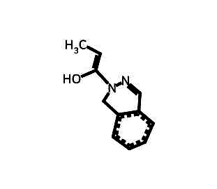 CC=C(O)N1Cc2ccccc2C=N1